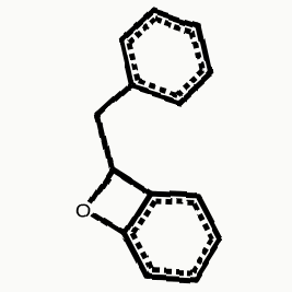 c1ccc(CC2Oc3ccccc32)cc1